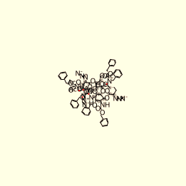 CC(=O)OC[C@H]1O[C@@H](O[C@@H]2[C@@H](O)[C@H](NC(=O)[C@H](CCNC(=O)OCc3ccccc3)OCc3ccccc3)[C@@H](OCc3ccccc3)[C@H](NC(=O)OCc3ccccc3)[C@H]2O[C@H]2O[C@H]([C@@H](C)N(Cc3ccccc3)C(=O)OCc3ccccc3)CC[C@H]2N=[N+]=[N-])[C@H](OC(C)=O)[C@@H]1O[C@H]1O[C@@H](CN=[N+]=[N-])[C@@H](OC(C)=O)[C@H](OC(C)=O)[C@H]1N=[N+]=[N-]